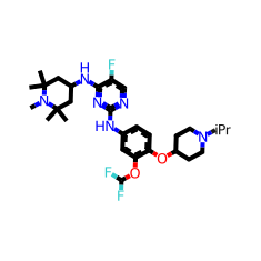 CC(C)N1CCC(Oc2ccc(Nc3ncc(F)c(NC4CC(C)(C)N(C)C(C)(C)C4)n3)cc2OC(F)F)CC1